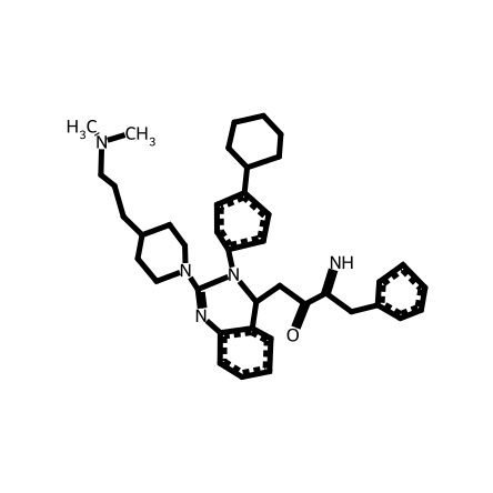 CN(C)CCCC1CCN(C2=Nc3ccccc3C(CC(=O)C(=N)Cc3ccccc3)N2c2ccc(C3CCCCC3)cc2)CC1